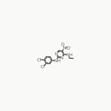 CCNc1nc(Nc2ccc(Cl)c(Cl)c2)ncc1[N+](=O)[O-]